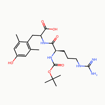 Cc1cc(O)cc(C)c1CC(NC(=O)[C@@H](CCCNC(=N)N)NC(=O)OC(C)(C)C)C(=O)O